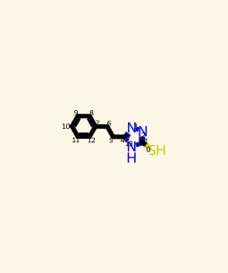 Sc1nnc(CCc2ccccc2)[nH]1